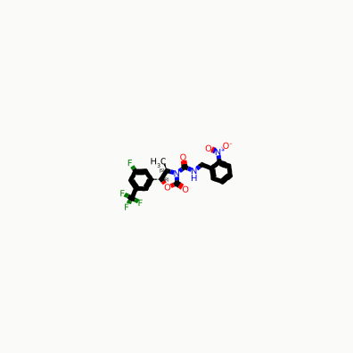 C[C@H]1[C@@H](c2cc(F)cc(C(F)(F)F)c2)OC(=O)N1C(=O)NCc1ccccc1[N+](=O)[O-]